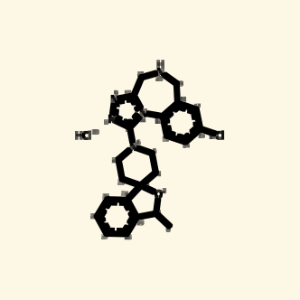 CC1OC2(CCN(c3nnc4n3-c3ccc(Cl)cc3CNC4)CC2)c2ccccc21.Cl